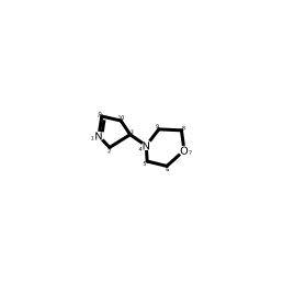 [C]1=NCC(N2CCOCC2)C1